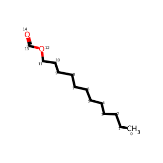 CCCCCCCCCCCCO[C]=O